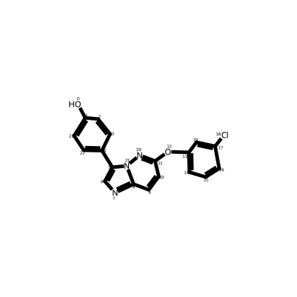 Oc1ccc(-c2cnc3ccc(Oc4cccc(Cl)c4)nn23)cc1